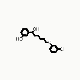 Oc1cccc(C(O)CCCCCOc2cccc(Cl)c2)c1